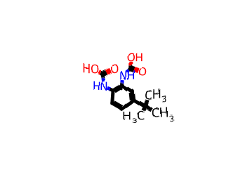 CC(C)(C)c1ccc(NC(=O)O)c(NC(=O)O)c1